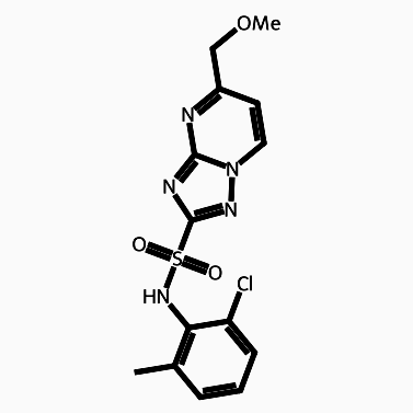 COCc1ccn2nc(S(=O)(=O)Nc3c(C)cccc3Cl)nc2n1